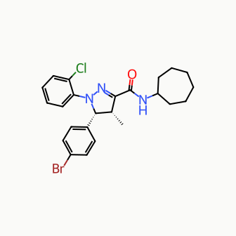 C[C@H]1C(C(=O)NC2CCCCCC2)=NN(c2ccccc2Cl)[C@H]1c1ccc(Br)cc1